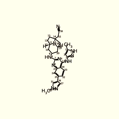 Cc1cc(Nc2nc(N[C@H]3C[C@@H]4CCC5(CC#N)C[C@H](C3)N45)nc3cc(-c4cnn(C)c4)ccc23)n[nH]1